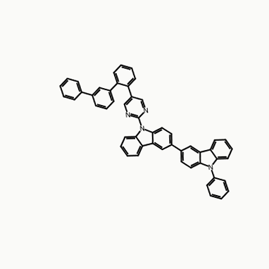 c1ccc(-c2cccc(-c3ccccc3-c3cnc(-n4c5ccccc5c5cc(-c6ccc7c(c6)c6ccccc6n7-c6ccccc6)ccc54)nc3)c2)cc1